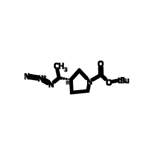 CC(N=[N+]=[N-])[C@H]1CCN(C(=O)OC(C)(C)C)C1